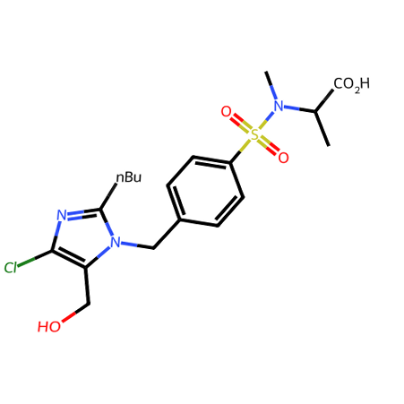 CCCCc1nc(Cl)c(CO)n1Cc1ccc(S(=O)(=O)N(C)C(C)C(=O)O)cc1